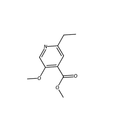 CCc1cc(C(=O)OC)c(OC)cn1